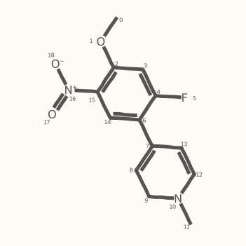 COc1cc(F)c(C2=CCN(C)C=C2)cc1[N+](=O)[O-]